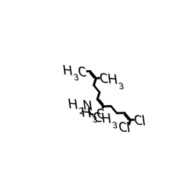 CC=C(C)CCC=C(C)CCC=C(Cl)Cl.CCN